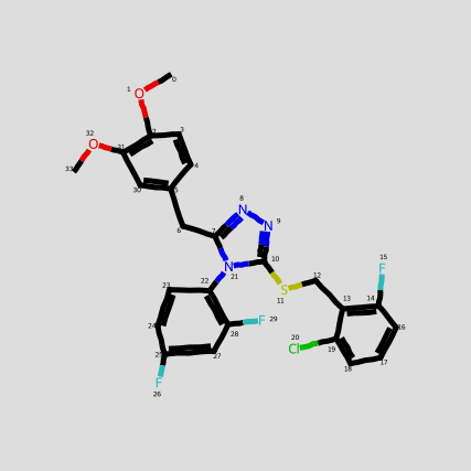 COc1ccc(Cc2nnc(SCc3c(F)cccc3Cl)n2-c2ccc(F)cc2F)cc1OC